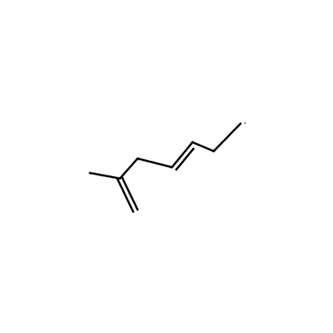 [CH2]CC=CCC(=C)C